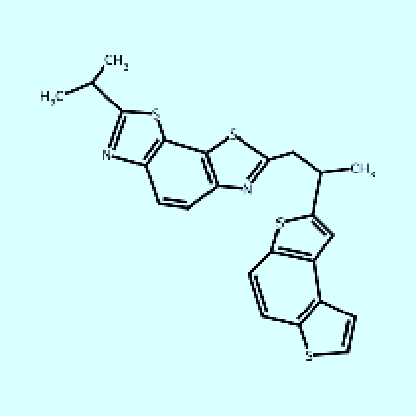 CC(C)c1nc2ccc3nc(CC(C)c4cc5c(ccc6sccc65)s4)sc3c2s1